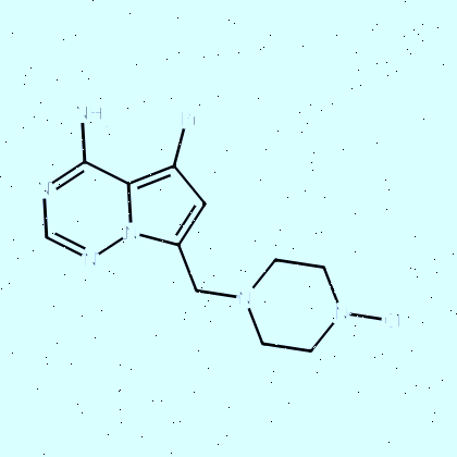 CN1CCN(Cc2cc(Br)c3c(N)ncnn23)CC1